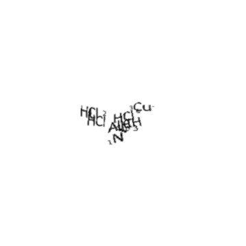 C#N.Cl.Cl.Cl.[AlH3].[Cu]